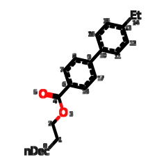 CCCCCCCCCCCCOC(=O)c1ccc(-c2ccc(CC)cc2)cc1